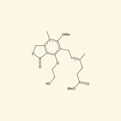 COC(=O)CC/C(C)=C/Cc1c(OC)c(C)c2c(c1OCCS)C(=O)OC2